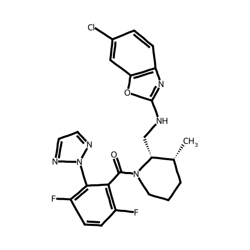 C[C@@H]1CCCN(C(=O)c2c(F)ccc(F)c2-n2nccn2)[C@@H]1CNc1nc2ccc(Cl)cc2o1